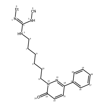 CC/N=C(\NC#N)NCCCCCCn1nc(-c2ccccc2)ccc1=O